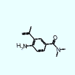 C=C(C)c1cc(C(=O)N(C)C)ccc1N